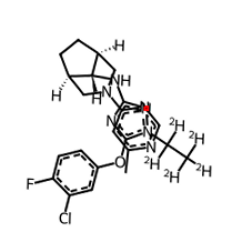 [2H]C([2H])([2H])C([2H])([2H])n1nc(N[C@@H]2[C@@H]3CC[C@H]2CN(c2cc(C)ncn2)C3)nc1Oc1ccc(F)c(Cl)c1